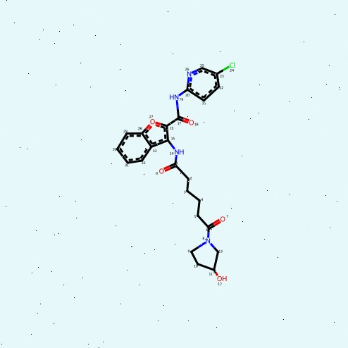 O=C(CCCCC(=O)N1CCC(O)C1)Nc1c(C(=O)Nc2ccc(Cl)cn2)oc2ccccc12